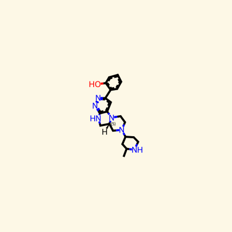 CC1CC(N2CCN3c4cc(-c5ccccc5O)nnc4NC[C@H]3C2)CCN1